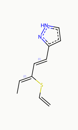 C=CSC(=C\C)/C=C/c1cc[nH]n1